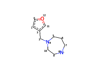 c1cc(CN2CCC[N]CC2)co1